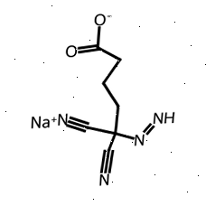 N#CC(C#N)(CCCC(=O)[O-])N=N.[Na+]